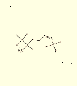 CC(F)(CC/C=C\C(F)(F)F)C(F)(F)F